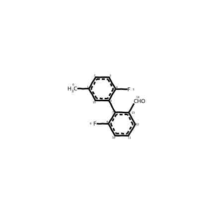 Cc1ccc(F)c(-c2c(F)cccc2C=O)c1